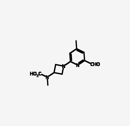 Cc1cc(C=O)nc(N2CC(N(C)C(=O)O)C2)c1